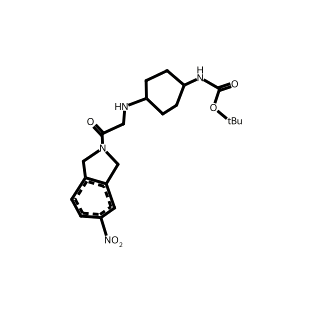 CC(C)(C)OC(=O)NC1CCC(NCC(=O)N2Cc3ccc([N+](=O)[O-])cc3C2)CC1